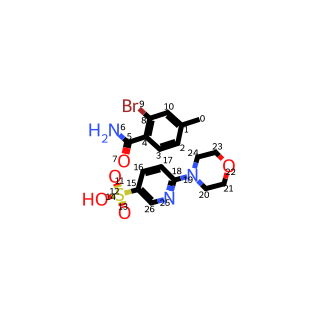 Cc1ccc(C(N)=O)c(Br)c1.O=S(=O)(O)c1ccc(N2CCOCC2)nc1